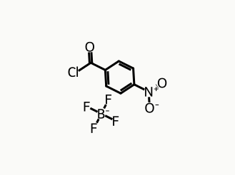 F[B-](F)(F)F.O=C(Cl)c1ccc([N+](=O)[O-])cc1